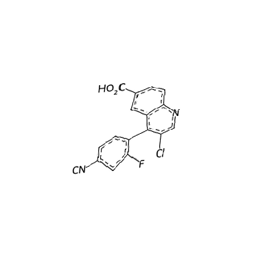 [C-]#[N+]c1ccc(-c2c(Cl)cnc3ccc(C(=O)O)cc23)c(F)c1